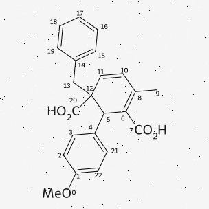 COc1ccc(C2C(C(=O)O)=C(C)C=CC2(Cc2ccccc2)C(=O)O)cc1